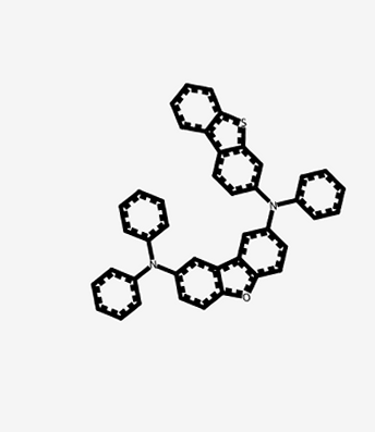 c1ccc(N(c2ccccc2)c2ccc3oc4ccc(N(c5ccccc5)c5ccc6c(c5)sc5ccccc56)cc4c3c2)cc1